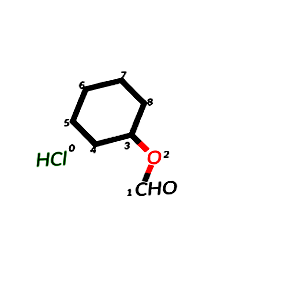 Cl.O=COC1CCCCC1